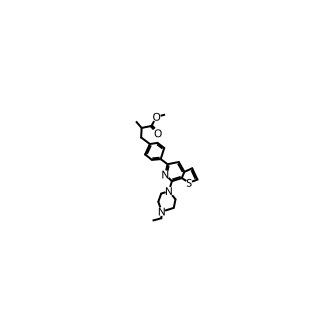 CCN1CCN(c2nc(-c3ccc(CC(C)C(=O)OC)cc3)cc3ccsc23)CC1